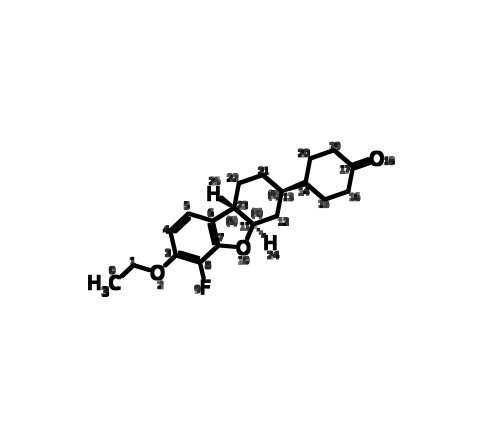 CCOc1ccc2c(c1F)O[C@@H]1C[C@H](C3CCC(=O)CC3)CC[C@@H]21